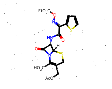 CCOC(=O)ON=C(C(=O)N[C@@H]1C(=O)N2C(C(=O)O)=C(COC(C)=O)CS[C@@H]12)c1cccs1